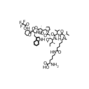 CC[C@H](C)[C@@H]([C@@H](CC(=O)N1CCC[C@H]1[C@H](OC)[C@@H](C)C(=O)N[C@@H](Cc1c[nH]c2ccccc12)C(=O)N1CCCCO1)OC)N(C)C(=O)[C@@H](NC(=O)[C@H](C(C)C)N(C)CCCCCC(=O)NCCCC[C@H](N)C(=O)O)C(C)C.O=C(O)C(F)(F)F